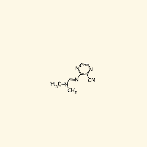 CN(C)C=Nc1nccnc1C#N